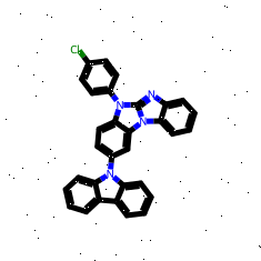 Clc1ccc(-n2c3ccc(-n4c5ccccc5c5ccccc54)cc3n3c4ccccc4nc23)cc1